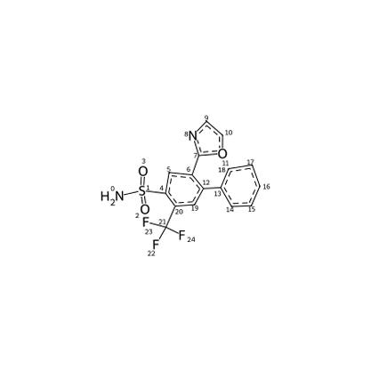 NS(=O)(=O)c1cc(-c2ncco2)c(-c2ccccc2)cc1C(F)(F)F